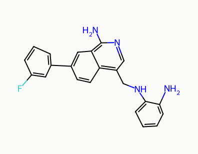 Nc1ccccc1NCc1cnc(N)c2cc(-c3cccc(F)c3)ccc12